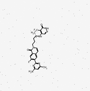 Cc1cc(N)nc(-c2cc3ccn(CCC[C@H](C)Nc4cn[nH]c(=O)c4C(F)(F)F)c(=O)c3cc2F)n1